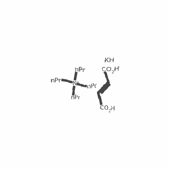 CCC[N+](CCC)(CCC)CCC.O=C(O)/C=C/C(=O)O.[KH]